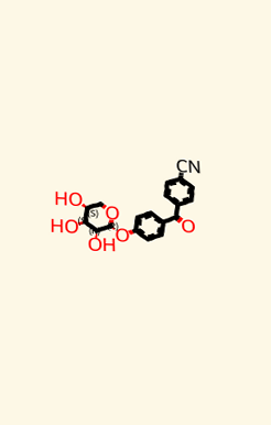 N#Cc1ccc(C(=O)c2ccc(O[C@H]3OC[C@H](O)[C@H](O)[C@H]3O)cc2)cc1